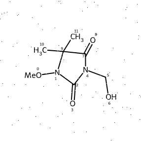 CON1C(=O)N(CO)C(=O)C1(C)C